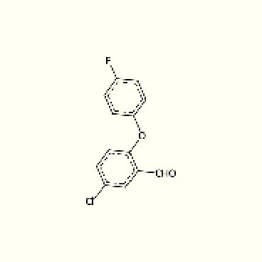 O=Cc1cc(Cl)ccc1Oc1ccc(F)cc1